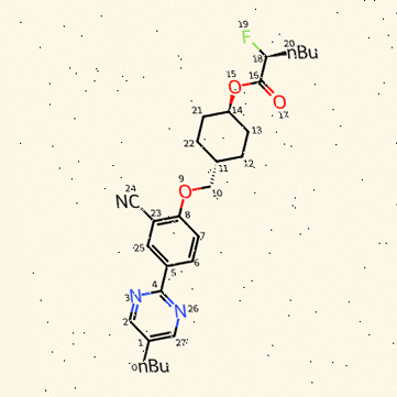 CCCCc1cnc(-c2ccc(OC[C@H]3CC[C@H](OC(=O)[C@@H](F)CCCC)CC3)c(C#N)c2)nc1